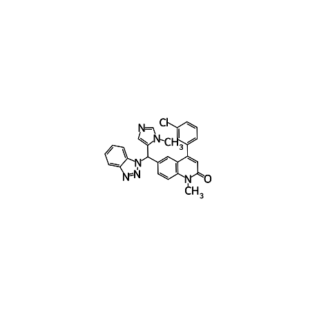 Cn1cncc1C(c1ccc2c(c1)c(-c1cccc(Cl)c1)cc(=O)n2C)n1nnc2ccccc21